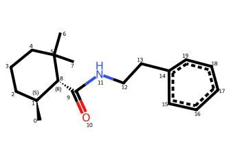 C[C@H]1CCCC(C)(C)[C@@H]1C(=O)NCCc1ccccc1